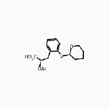 CC(=O)O[C@H](Cc1ccccc1OC1CCCCO1)C(=O)O